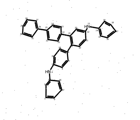 c1ccc(Nc2ccc(-c3ccc(Nc4ccccc4)cc3-c3ccc(-c4ccccc4)cc3)cc2)cc1